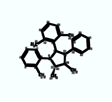 Cc1ccccc1N1C(c2c(C)cccc2C)N(c2ccccc2)C(C)[C@@H]1C